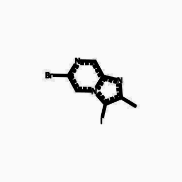 Cc1nc2cnc(Br)cn2c1I